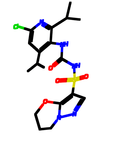 CC(C)c1cc(Cl)nc(C(C)C)c1NC(=O)NS(=O)(=O)c1cnn2c1OCCC2